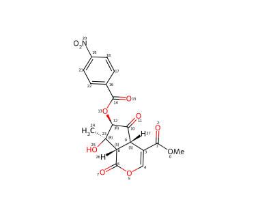 COC(=O)C1=COC(=O)[C@H]2[C@@H]1C(=O)[C@H](OC(=O)c1ccc([N+](=O)[O-])cc1)[C@]2(C)O